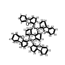 c1ccc2c(c1)oc1c(-n3c4cccc5c4-c4c(cccc4p(-c4cccc6c4sc4ccccc46)n5-c4cccc5c4oc4ccccc45)p3-c3cccc4c3sc3ccccc34)cccc12